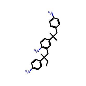 CCC(C)(Cc1cc(C(C)(C)Cc2ccc(N)cc2)ccc1N)c1ccc(N)cc1